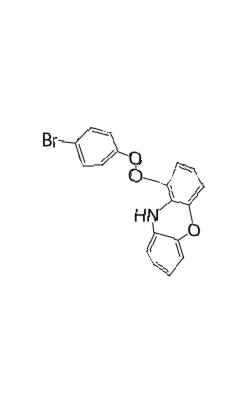 Brc1ccc(OOc2cccc3c2Nc2ccccc2O3)cc1